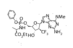 CCOC(=O)[C@@H](C)NP(=O)(OC[C@H]1O[C@@H](n2cnc3c(NC)nc(N)nc32)[C@@H](C(F)(F)F)[C@@H]1O)Oc1ccccc1